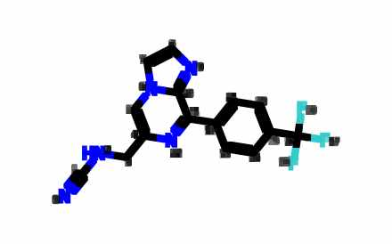 N#CNCc1cn2ccnc2c(-c2ccc(C(F)(F)F)cc2)n1